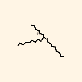 CCCCCCCCOC([CH2][Sn][CH2]CCC)OCCCCCCCC